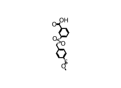 COSc1ccc(CS(=O)(=O)c2cccc(C(=O)O)c2)cc1